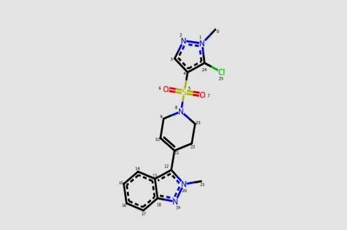 Cn1ncc(S(=O)(=O)N2CC=C(c3c4ccccc4nn3C)CC2)c1Cl